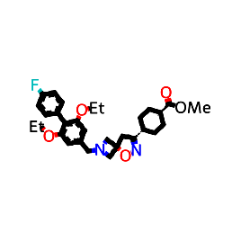 CCOc1cc(CN2CC3(CC([C@H]4CC[C@H](C(=O)OC)CC4)=NO3)C2)cc(OCC)c1-c1ccc(F)cc1